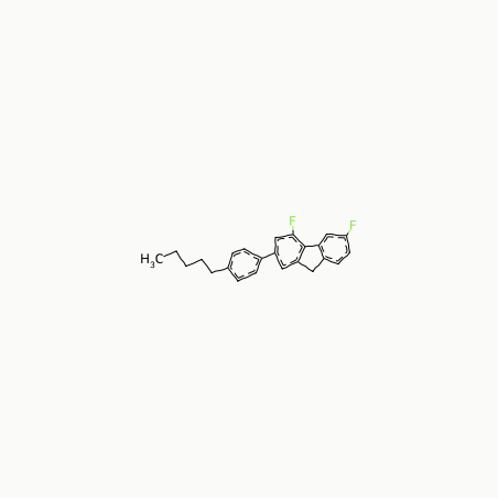 CCCCCc1ccc(-c2cc(F)c3c(c2)Cc2ccc(F)cc2-3)cc1